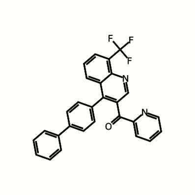 O=C(c1ccccn1)c1cnc2c(C(F)(F)F)cccc2c1-c1ccc(-c2ccccc2)cc1